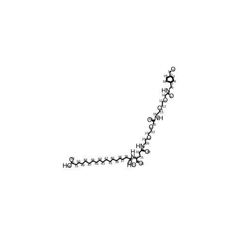 O=Cc1ccc(CNC(=O)COCCOCCNC(=O)COCCOCCNC(=O)CCC(NC(=O)CCCCCCCCCCCCCCCCC(=O)O)C(=O)O)cc1